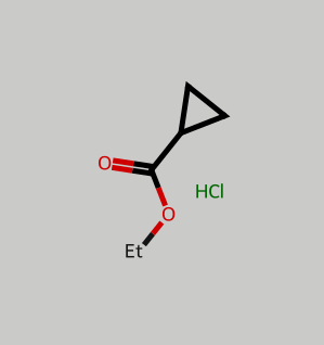 CCOC(=O)C1CC1.Cl